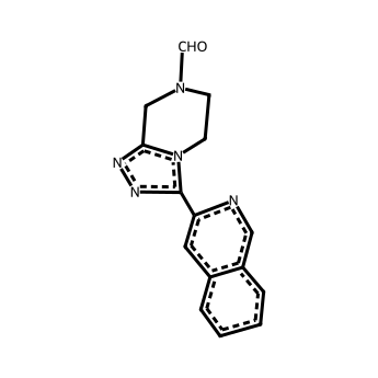 O=CN1CCn2c(nnc2-c2cc3ccccc3cn2)C1